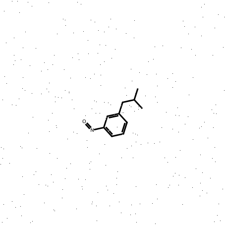 CC(C)Cc1cccc(N=O)c1